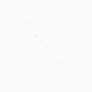 CC/C=C/C/C=C/C/C=C/C/C=C/C/C=C/CCCCCC(=O)N[C@@H](CC(C)C)C(=O)O